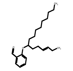 CCC=CCCC(CCCCCCCCC)Oc1ccccc1C=O